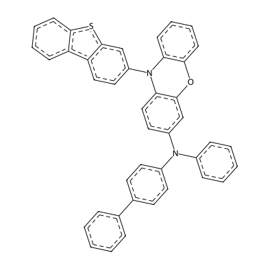 c1ccc(-c2ccc(N(c3ccccc3)c3ccc4c(c3)Oc3ccccc3N4c3ccc4c(c3)sc3ccccc34)cc2)cc1